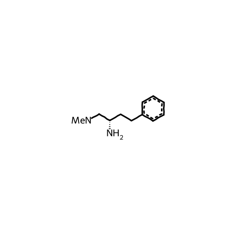 CNC[C@@H](N)CCc1ccccc1